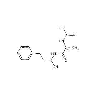 CC(CCc1ccccc1)NC(=O)[C@@H](C)NC(=O)O